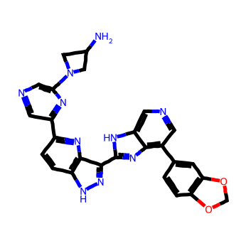 NC1CN(c2cncc(-c3ccc4[nH]nc(-c5nc6c(-c7ccc8c(c7)OCO8)cncc6[nH]5)c4n3)n2)C1